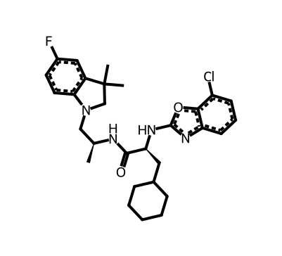 C[C@@H](CN1CC(C)(C)c2cc(F)ccc21)NC(=O)[C@H](CC1CCCCC1)Nc1nc2cccc(Cl)c2o1